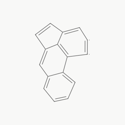 [c]1[c]c2c3c(c1)C=Cc3cc1ccccc12